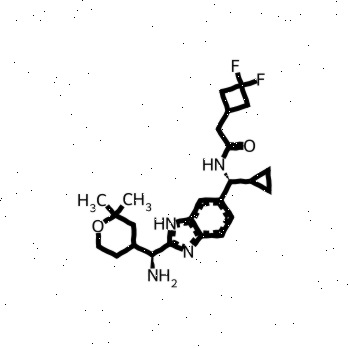 CC1(C)CC([C@H](N)c2nc3ccc([C@H](NC(=O)CC4CC(F)(F)C4)C4CC4)cc3[nH]2)CCO1